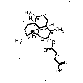 CCCC(=O)CCC(=O)O[C@@H]1O[C@@H]2O[C@]3(C)CC[C@H]4[C@H](C)CC[C@@H]([C@H]1C)[C@@]24OO3